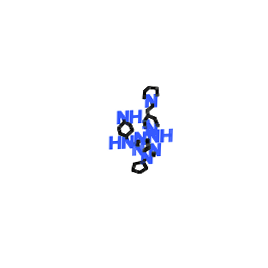 NC1CCC(Nc2nc(NN3CCC(CCN4CCCCC4)CC3)c3ncn(C4CCCC4)c3n2)CC1